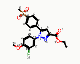 CCOC(=O)c1cc(-c2ccc(S(C)(=O)=O)cc2)n(-c2ccc(OC)c(F)c2)n1